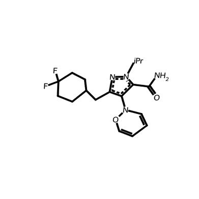 CC(C)n1nc(CC2CCC(F)(F)CC2)c(N2C=CC=CO2)c1C(N)=O